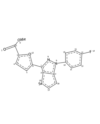 COC(=O)c1ccc(-c2nn(-c3ccc(F)cc3)c3cc[se]c23)o1